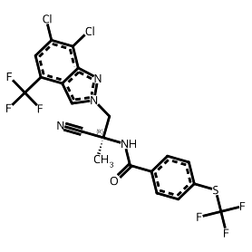 C[C@](C#N)(Cn1cc2c(C(F)(F)F)cc(Cl)c(Cl)c2n1)NC(=O)c1ccc(SC(F)(F)F)cc1